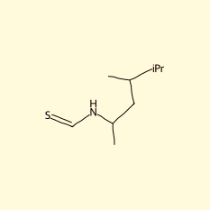 CC(CC(C)C(C)C)NC=S